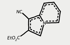 CCOC(=O)c1cn2ccccc2c1C#N